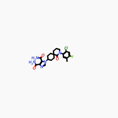 Cc1cc(N2CCCC3(CCC(n4cnc(C(N)=O)c4C(N)=O)CC3)C2=O)c(Cl)cc1F